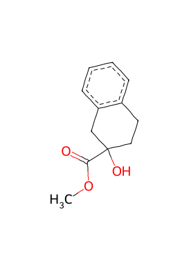 COC(=O)C1(O)CCc2ccccc2C1